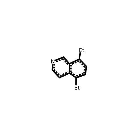 CCc1ccc(CC)c2cnccc12